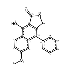 COc1ccc2c(O)c3c(c(-c4ccccc4)c2c1)COC3=O